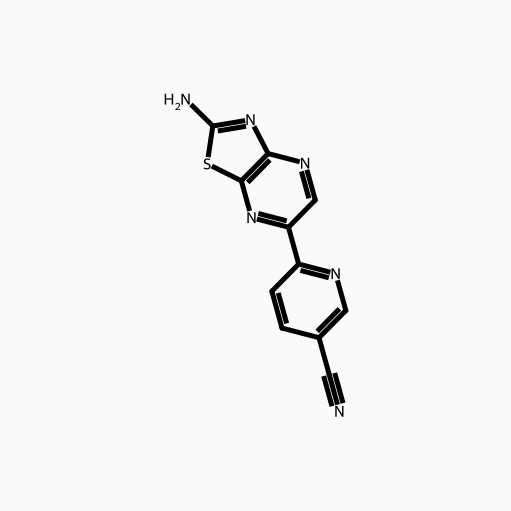 N#Cc1ccc(-c2cnc3nc(N)sc3n2)nc1